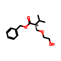 CC(C)[C@H](COCCO)C(=O)OCc1ccccc1